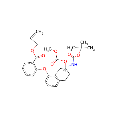 C=CCOC(=O)c1ccccc1Oc1cccc2c1C[C@@](NC(=O)OC(C)(C)C)(OC(=O)OC)CC2